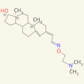 CN(C)CCON=CC=C1C=C2CCC3C(CC[C@@]4(C)C3CC[C@@H]4O)[C@@]2(C)CC1